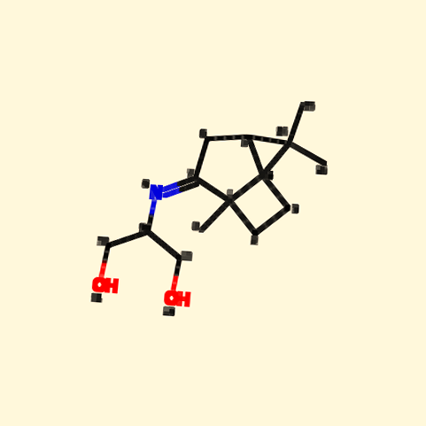 CC12CCC13C(C/C2=N/C(CO)CO)C3(C)C